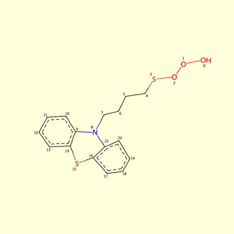 OOOSCCCCN1c2ccccc2Sc2ccccc21